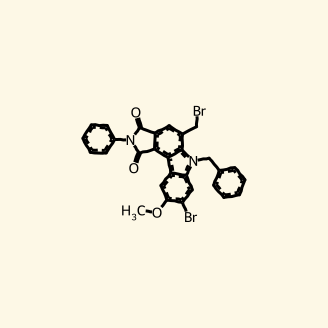 COc1cc2c3c4c(cc(CBr)c3n(Cc3ccccc3)c2cc1Br)C(=O)N(c1ccccc1)C4=O